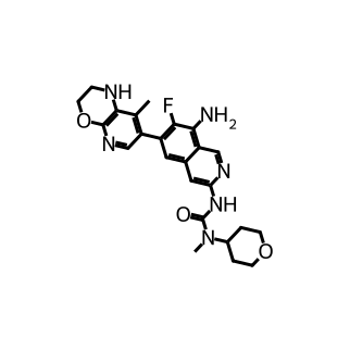 Cc1c(-c2cc3cc(NC(=O)N(C)C4CCOCC4)ncc3c(N)c2F)cnc2c1NCCO2